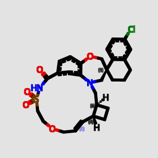 O=C1NS(=O)(=O)CCOC/C=C/[C@H]2CC[C@@H]2CN2C[C@@]3(CCCc4cc(Cl)ccc43)COc3ccc1cc32